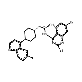 C[C@H](C[C@H]1CC[C@H](c2ccnc3ccc(F)cc32)CC1)Nc1nc(Cl)nc2cc(Br)ccc12